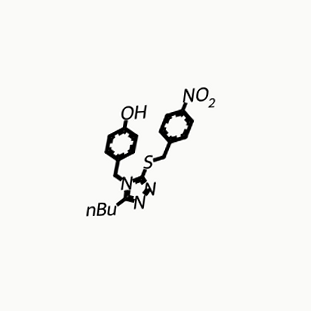 CCCCc1nnc(SCc2ccc([N+](=O)[O-])cc2)n1Cc1ccc(O)cc1